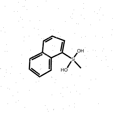 C[Si](O)(O)c1cccc2ccccc12